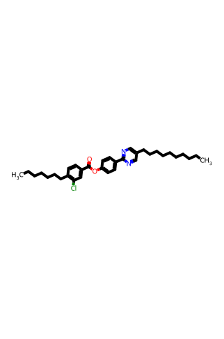 CCCCCCCCCCc1cnc(-c2ccc(OC(=O)c3ccc(CCCCCCC)c(Cl)c3)cc2)nc1